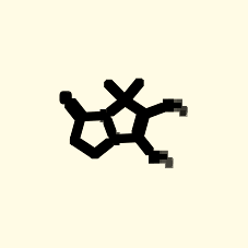 CC1(C)C(N)=C(N)N2CCC(=O)N21